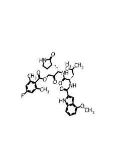 COc1cccc2[nH]c(C(=O)N[C@@H](CC(C)C)C(=O)N[C@@H](C[C@@H]3CCNC3=O)C(=O)COC(=O)c3c(C)cc(F)cc3C)cc12